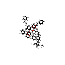 CC1(C)OB(c2ccc(S(=O)(=O)C[C@@H]3OC(COCc4ccccc4)[C@@H](O[C@@H]4OC(COCc5ccccc5)[C@@H](OCc5ccccc5)[C@@H](OCc5ccccc5)C4OCc4ccccc4)[C@@H](OCc4ccccc4)C3OCc3ccccc3)cc2)OC1(C)C